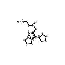 CNCCN(C)Cc1nn2c(c1C1CCCC1)CCC2